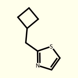 c1csc(CC2CCC2)n1